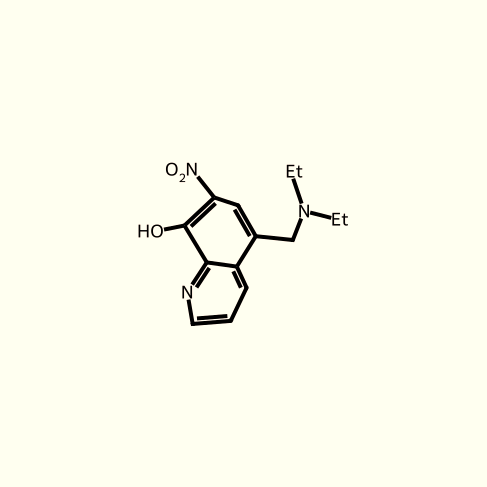 CCN(CC)Cc1cc([N+](=O)[O-])c(O)c2ncccc12